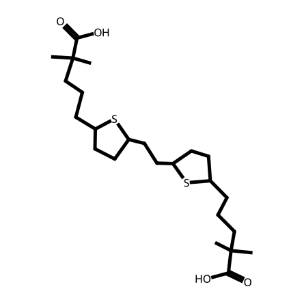 CC(C)(CCCC1CCC(CCC2CCC(CCCC(C)(C)C(=O)O)S2)S1)C(=O)O